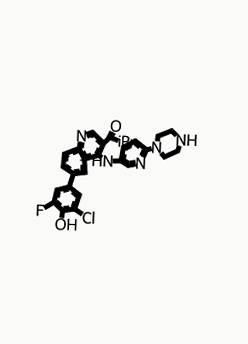 CC(C)C(=O)c1cnc2ccc(-c3cc(F)c(O)c(Cl)c3)cc2c1Nc1ccc(N2CCNCC2)nc1